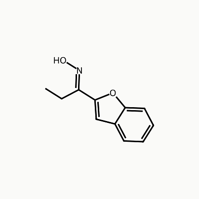 CC/C(=N\O)c1cc2ccccc2o1